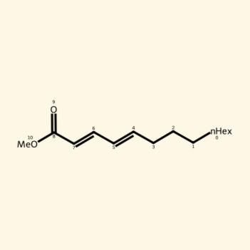 CCCCCCCCCC=CC=CC(=O)OC